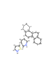 c1ccc2c(c1)ccc1c3c(ccc12)CCCC3.c1ccncc1.c1cnsc1